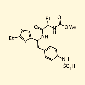 CCc1nc([C@H](Cc2ccc(NS(=O)(=O)O)cc2)NC(=O)[C@H](CC)NC(=O)OC)cs1